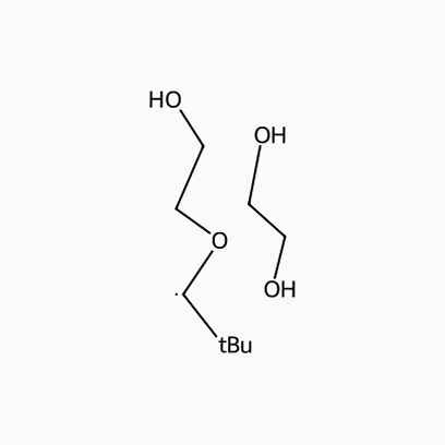 CC(C)(C)[CH]OCCO.OCCO